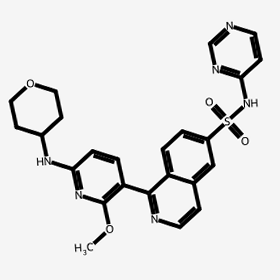 COc1nc(NC2CCOCC2)ccc1-c1nccc2cc(S(=O)(=O)Nc3ccncn3)ccc12